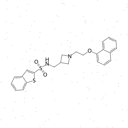 O=S(=O)(NCC1CN(CCOc2cccc3ccccc23)C1)c1cc2ccccc2s1